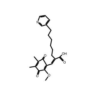 COC1=C(C=C(CCCCCCc2cccnc2)C(=O)O)C(=O)C(C)=C(C)C1=O